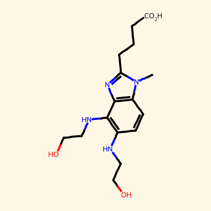 Cn1c(CCCC(=O)O)nc2c(NCCO)c(NCCO)ccc21